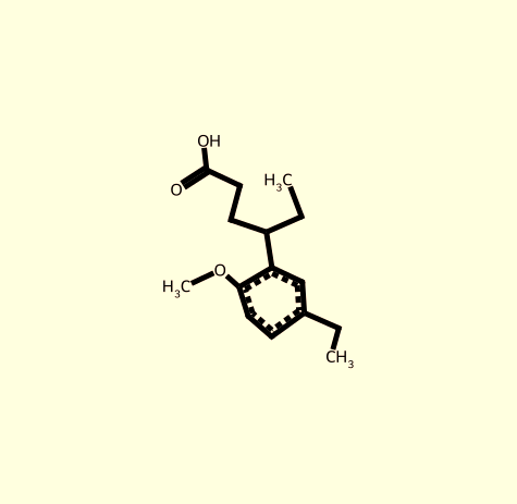 CCc1ccc(OC)c(C(CC)CCC(=O)O)c1